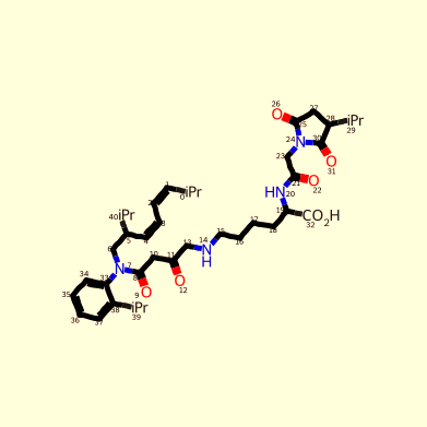 CC(C)/C=C\C=C/C(CN(C(=O)CC(=O)CNCCCCC(NC(=O)CN1C(=O)CC(C(C)C)C1=O)C(=O)O)c1ccccc1C(C)C)C(C)C